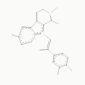 CC(=Cn1c2c(c3cc(C)ccc31)CCN(C)C2C)c1ccc(F)c(F)c1